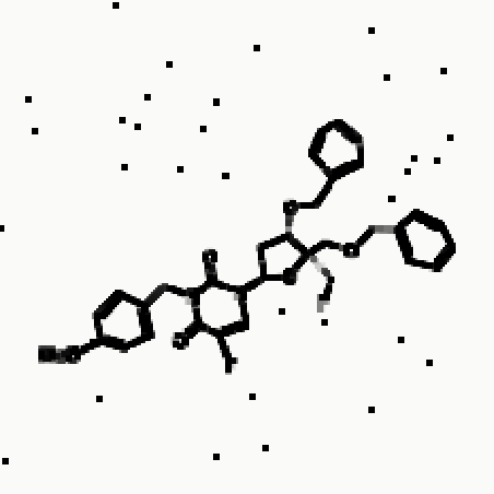 COc1ccc(Cn2c(=O)c(F)cn([C@H]3C[C@H](OCc4ccccc4)[C@@](CF)(COCc4ccccc4)O3)c2=O)cc1